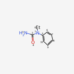 CCN(C(N)=O)c1[c]cccc1